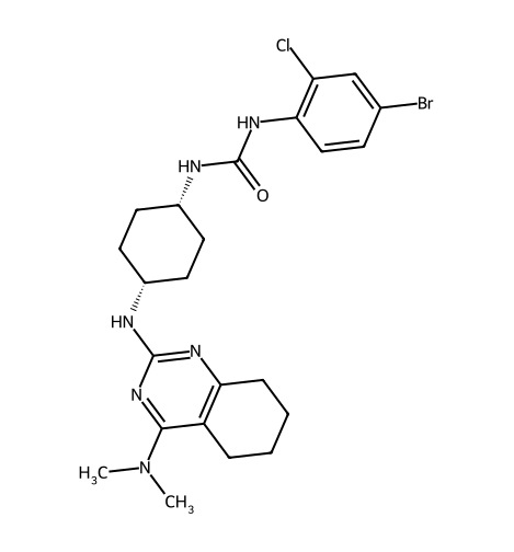 CN(C)c1nc(N[C@H]2CC[C@@H](NC(=O)Nc3ccc(Br)cc3Cl)CC2)nc2c1CCCC2